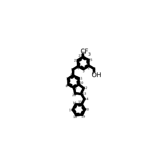 OCc1cc(Cc2ccc3c(c2)CC(Cc2ccccc2)[C]3)cc(C(F)(F)F)c1